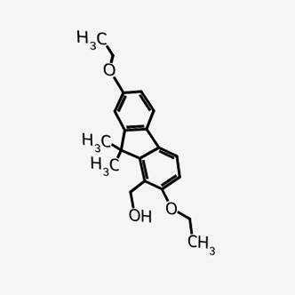 CCOc1ccc2c(c1)C(C)(C)c1c-2ccc(OCC)c1CO